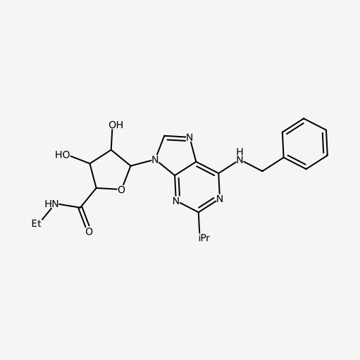 CCNC(=O)C1OC(n2cnc3c(NCc4ccccc4)nc(C(C)C)nc32)C(O)C1O